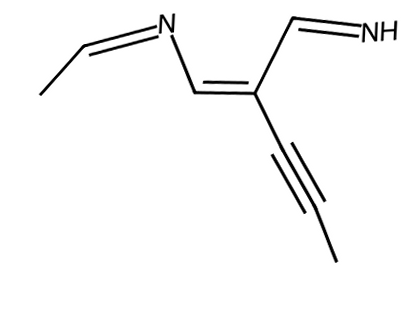 CC#C/C(C=N)=C/N=C\C